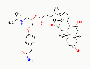 CC(C)NCC(COc1ccc(CC(N)=O)cc1)OC(=O)CC[C@@H](C)[C@H]1CCC2C3C(C[C@H](O)[C@@]21C)[C@@]1(C)CC[C@@H](O)C[C@H]1C[C@H]3O